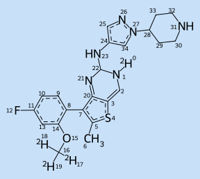 [2H]N1C=c2sc(C)c(-c3ccc(F)cc3OC([2H])([2H])[2H])c2=NC1Nc1cnn(C2CCNCC2)c1